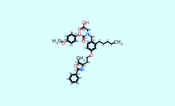 CCCCCc1cc(OCCc2nc(-c3ccccc3)oc2C)ccc1CN(CC(=O)O)C(=O)Oc1ccc(OC)cc1